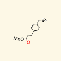 COC(=O)/C=C/c1ccc(CC(C)C)cc1